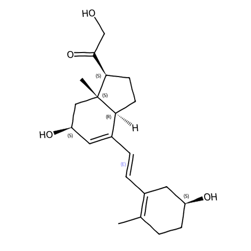 CC1=C(/C=C/C2=C[C@@H](O)C[C@]3(C)[C@@H](C(=O)CO)CC[C@@H]23)C[C@@H](O)CC1